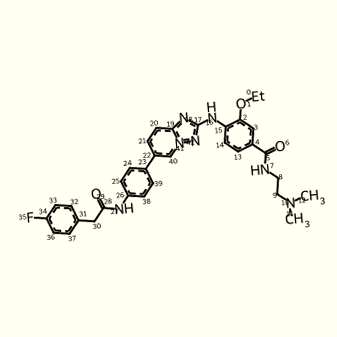 CCOc1cc(C(=O)NCCN(C)C)ccc1Nc1nc2ccc(-c3ccc(NC(=O)Cc4ccc(F)cc4)cc3)cn2n1